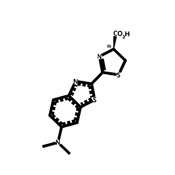 CN(C)c1ccc2nc(C3=N[C@@H](C(=O)O)CS3)sc2c1